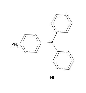 I.P.c1ccc(P(c2ccccc2)c2ccccc2)cc1